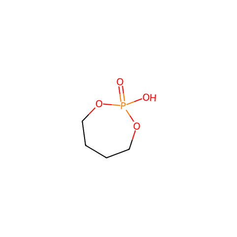 O=P1(O)OCCCCO1